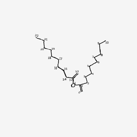 C=C(CCCCCCCCC)OC(=C)CCCCCCCCC